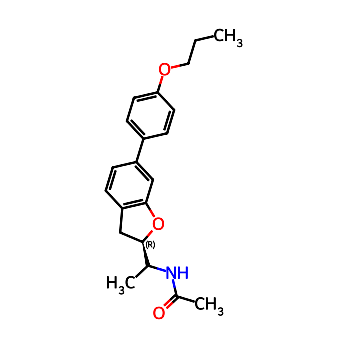 CCCOc1ccc(-c2ccc3c(c2)O[C@@H](C(C)NC(C)=O)C3)cc1